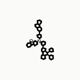 c1ccc(-c2c(-c3ccccc3)c3cc(-c4cccc(N(c5ccc(-c6ccc7c(ccc8ccccc87)c6)cc5)c5ccc6c(c5)oc5ccccc56)c4)ccc3c3ccccc23)cc1